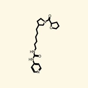 O=C(NCCCCCCC1CCN(C(=O)C2CCCO2)C1)Nc1ccncc1